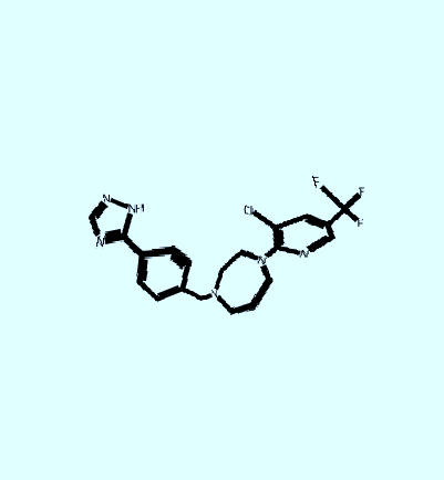 FC(F)(F)c1cnc(N2CCCN(Cc3ccc(-c4ncn[nH]4)cc3)CC2)c(Cl)c1